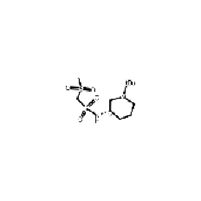 CC(C)(C)N1CCC[C@H](NS(=O)(=O)CS(C)(=O)=O)C1